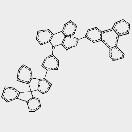 c1ccc(-c2ccccc2N(c2ccc(-c3ccc4c5ccccc5c5ccccc5c4c3)cc2)c2ccc(-c3cccc4c3-c3ccccc3C43c4ccccc4-c4ccccc43)cc2)cc1